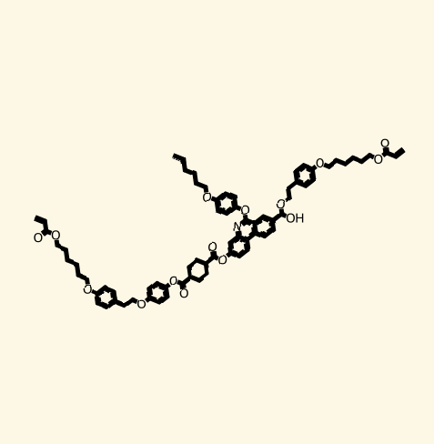 C=CC(=O)OCCCCCCOc1ccc(CCOc2ccc(OC(=O)C3CCC(C(=O)Oc4ccc5c(c4)nc(Oc4ccc(OCCCCCC)cc4)c4cc(C(O)OCCc6ccc(OCCCCCCOC(=O)C=C)cc6)ccc45)CC3)cc2)cc1